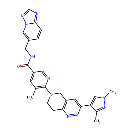 Cc1cc(C(=O)NCc2ccc3ncnn3c2)cnc1N1CCc2ncc(-c3cn(C)nc3C)cc2C1